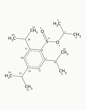 CC(C)OS(=O)c1c(C(C)C)cc(C(C)C)cc1C(C)C